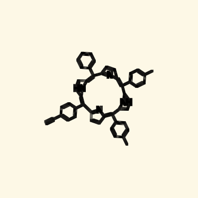 C#Cc1ccc(-c2c3nc(c(-c4ccc(C)cc4)c4ccc([nH]4)c(-c4ccc(C)cc4)c4nc(c(-c5ccccc5)c5ccc2[nH]5)C=C4)C=C3)cc1